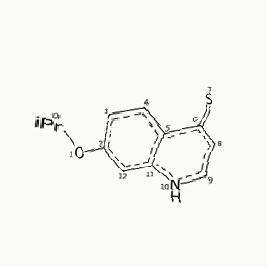 CC(C)Oc1ccc2c(=S)cc[nH]c2c1